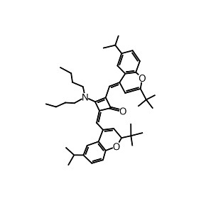 CCCCN(CCCC)C1=C(/C=C2\C=C(C(C)(C)C)Oc3ccc(C(C)C)cc32)C(=O)/C1=C\C1=CC(C(C)(C)C)Oc2ccc(C(C)C)cc21